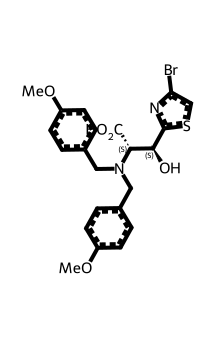 COc1ccc(CN(Cc2ccc(OC)cc2)[C@H](C(=O)O)[C@H](O)c2nc(Br)cs2)cc1